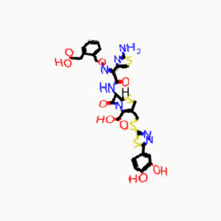 Nc1nc(C(=NOCc2ccccc2CC(=O)O)C(=O)N[C@@H]2C(=O)N3C(C(=O)O)=C(CSc4nnc(-c5ccc(O)c(O)c5)s4)CS[C@@H]23)cs1